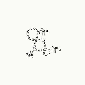 NNC(=O)OCc1ccc2c(c1)OCCOC(C1COCCOCCOC(COC(=O)NN)CO1)COCCOCCOCC(C1COCCOCCOCCOCCOCC(COC(=O)NN)OCCO1)OCCO2